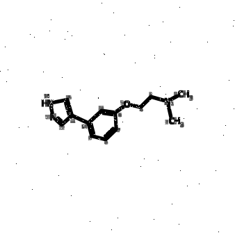 CN(C)CCOc1[c]ccc(-c2cn[nH]c2)c1